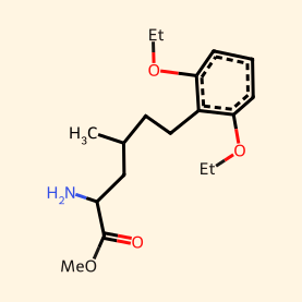 CCOc1cccc(OCC)c1CCC(C)CC(N)C(=O)OC